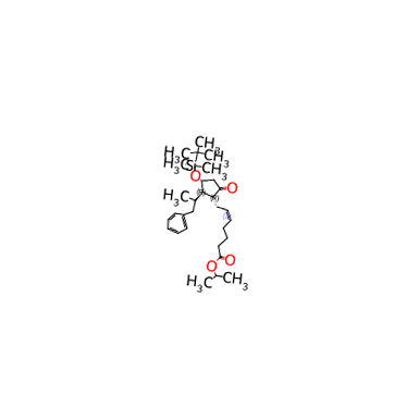 CC(C)OC(=O)CCC/C=C\C[C@H]1C(=O)CC(O[Si](C)(C)C(C)(C)C)[C@@H]1C(C)Cc1ccccc1